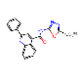 CCOC(=O)c1nnc(NC(=O)c2cc(-c3ccccc3)nc3ccccc23)o1